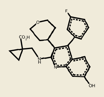 O=C(O)C1(CNc2nc3cc(O)ccc3c(-c3cccc(F)c3)c2C2CCOCC2)CC1